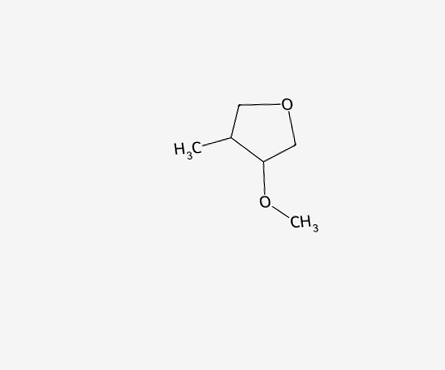 COC1COCC1C